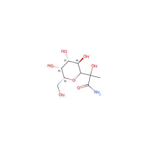 CC(O)(C(N)=O)C1O[C@H](CO)[C@H](O)[C@H](O)[C@H]1O